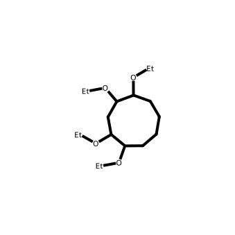 CCOC1CCCCC(OCC)C(OCC)CC1OCC